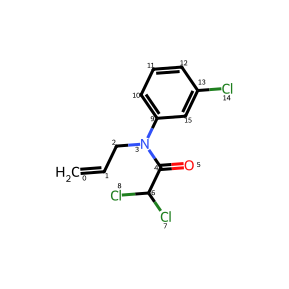 C=CCN(C(=O)C(Cl)Cl)c1cccc(Cl)c1